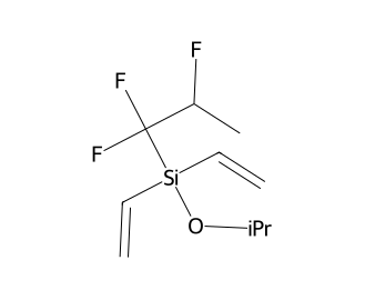 C=C[Si](C=C)(OC(C)C)C(F)(F)C(C)F